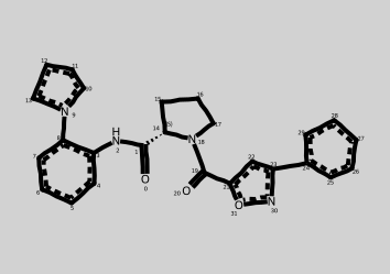 O=C(Nc1ccccc1-n1cccc1)[C@@H]1CCCN1C(=O)c1cc(-c2ccccc2)no1